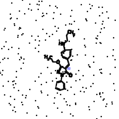 CCCNc1ccc(/C=C2/C(=O)N(c3ccccc3)N=C2OCC)cc1